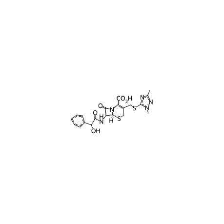 Cc1nc(SCC2=C(C(=O)O)N3C(=O)C(NC(=O)C(O)c4ccccc4)[C@@H]3SC2)n(C)n1